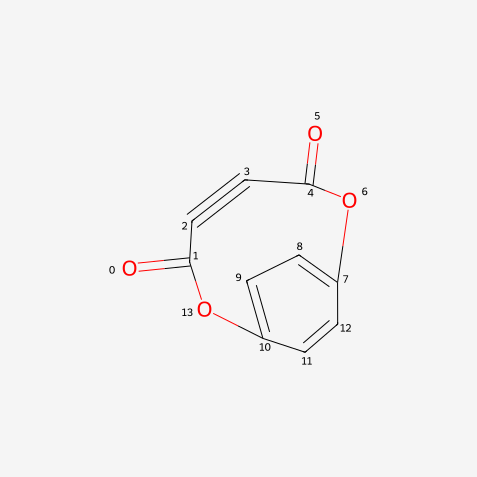 O=c1c#cc(=O)oc2ccc(cc2)o1